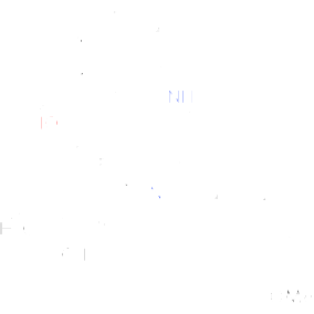 COc1ccc(Cc2nc3c(c4c2[nH]c2ccccc24)C(O)CC(C)(C)C3)cc1